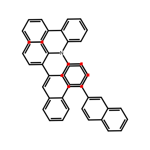 c1ccc(-c2ccccc2N(c2ccc(-c3ccc4ccccc4c3)cc2)c2ccccc2-c2cc3ccccc3c3ccccc23)cc1